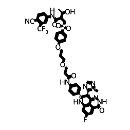 C[C@@H](O)C(CS(=O)(=O)c1ccc(OCCCOCCC(=O)Nc2ccc([C@H]3Nc4cc(F)cc5c(=O)[nH]nc(c45)[C@@H]3c3ncnn3C)cc2)cc1)C(=O)Nc1ccc(C#N)c(C(F)(F)F)c1